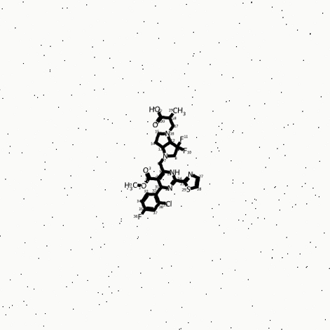 COC(=O)C1=C(CN2CC(F)(F)C3C2CCN3CC(C)C(=O)O)NC(c2nccs2)=NC1c1ccc(F)cc1Cl